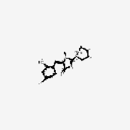 CN1C(=Cc2ccc(F)cc2O)C(=O)N=C1N1CCCCN1